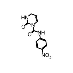 O=C1NCC=CN1C(=O)Nc1ccc([N+](=O)[O-])cc1